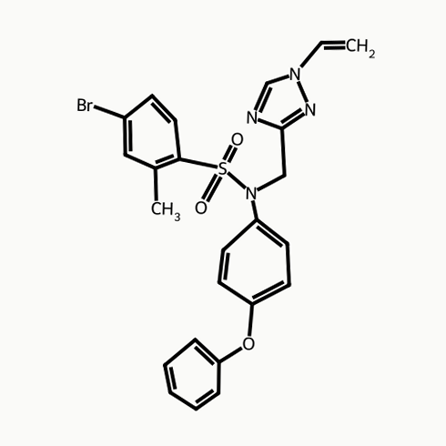 C=Cn1cnc(CN(c2ccc(Oc3ccccc3)cc2)S(=O)(=O)c2ccc(Br)cc2C)n1